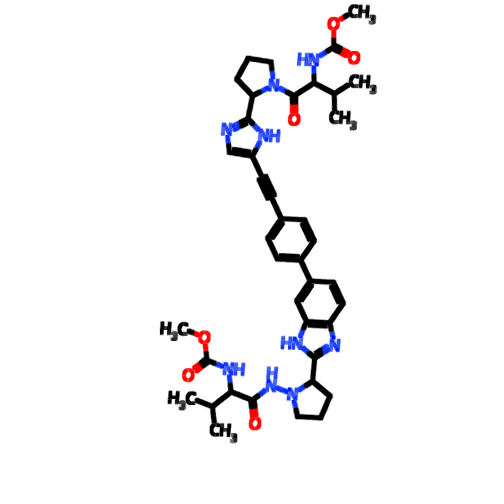 COC(=O)NC(C(=O)NN1CCCC1c1nc2ccc(-c3ccc(C#Cc4cnc(C5CCCN5C(=O)C(NC(=O)OC)C(C)C)[nH]4)cc3)cc2[nH]1)C(C)C